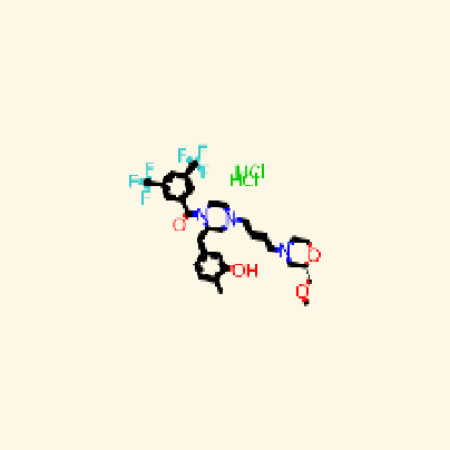 COC[C@@H]1CN(C/C=C/CN2CCN(C(=O)c3cc(C(F)(F)F)cc(C(F)(F)F)c3)C(Cc3ccc(C)c(O)c3)C2)CCO1.Cl.Cl